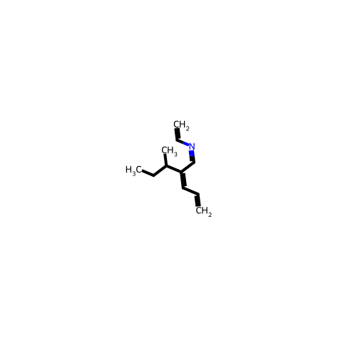 C=C/C=C(\C=N/C=C)C(C)CC